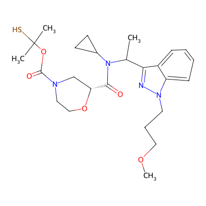 COCCCn1nc(C(C)N(C(=O)[C@H]2CN(C(=O)OC(C)(C)S)CCO2)C2CC2)c2ccccc21